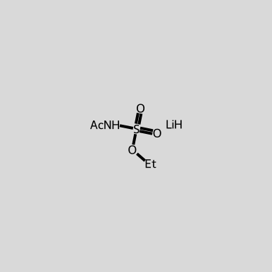 CCOS(=O)(=O)NC(C)=O.[LiH]